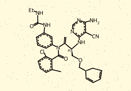 C=C([C@H](COCC1C=CC=CC1)Nc1ncnc(N)c1C#N)N(C(=O)c1c(C)cccc1Cl)c1cccc(NC(=O)NCC)c1